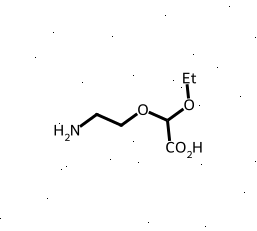 CCOC(OCCN)C(=O)O